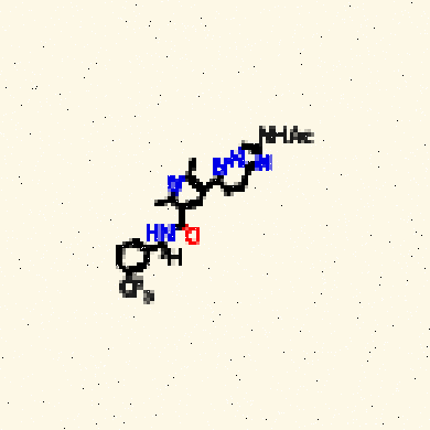 [2H]C(NC(=O)c1cc(-c2ccc3nc(NC(C)=O)cn3n2)c(C)nc1C)c1cccc(C(F)(F)F)c1